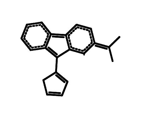 CC(C)=c1[c]c2c(cc1)=c1ccccc1=C2C1=CC=CC1